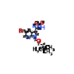 C[Si](C)(C)CCOCn1cc(-c2noc(=O)[nH]2)c2cc(Br)cnc21